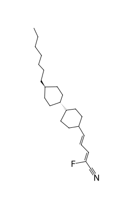 CCCCCCC[C@H]1CC[C@H](C2CCC(C=CC=C(F)C#N)CC2)CC1